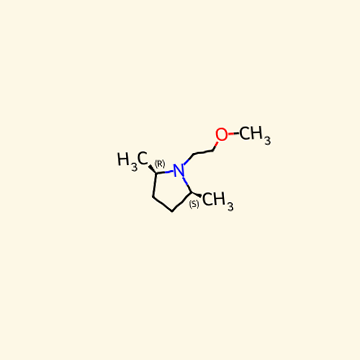 COCCN1[C@H](C)CC[C@@H]1C